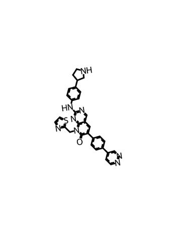 O=c1c(-c2ccc(-c3ccnnc3)cc2)cc2cnc(Nc3ccc(C4CCNC4)cc3)nc2n1Cc1nccs1